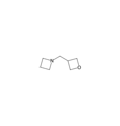 [CH]1CN(CC2COC2)C1